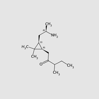 CCC(C)C(=O)C[C@@H]1[C@H](C[C@@H](C)N)C1(C)C